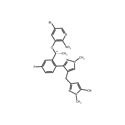 C[C@@H](Oc1cc(Br)cnc1[N+](=O)[O-])c1cc(F)ccc1-c1nn(C)cc1Cc1cc(C#N)n(C)n1